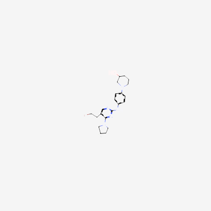 OC1CCCN(c2ccc(Nc3ncc(CCBr)c(N4C[C@H](F)[C@@H](F)C4)n3)cc2)C1